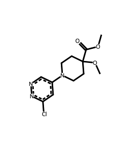 COC(=O)C1(OC)CCN(c2cnnc(Cl)c2)CC1